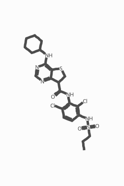 CCCS(=O)(=O)Nc1ccc(Cl)c(NC(=O)C2CSc3c(NC4CCCCC4)ncnc32)c1Cl